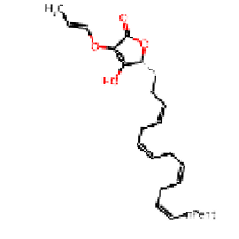 C/C=C/OC1=C(O)[C@@H](CC/C=C\C/C=C\C/C=C\C/C=C\CCCCC)OC1=O